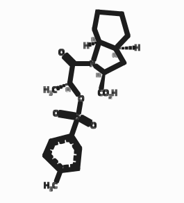 Cc1ccc(S(=O)(=O)O[C@H](C)C(=O)N2[C@H](C(=O)O)C[C@@H]3CCCC[C@@H]32)cc1